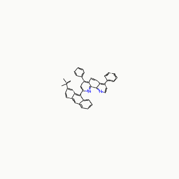 CC(C)(C)c1ccc2cc3ccccc3c(-c3cc(-c4ccccc4)c4ccc5c(-c6ccccc6)ccnc5c4n3)c2c1